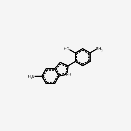 Bc1ccc(-c2cc3cc(B)ccc3[nH]2)c(O)c1